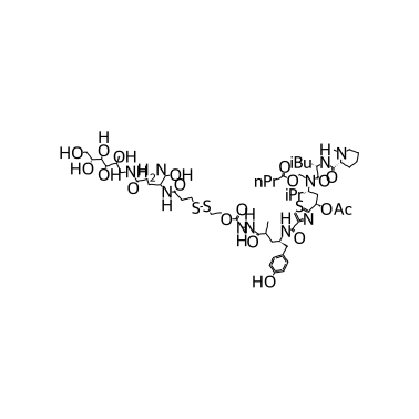 CCCC(=O)OCN(C(=O)[C@@H](NC(=O)[C@H]1CCCCN1C)C(C)CC)[C@H](C[C@@H](OC(C)=O)c1nc(C(=O)N[C@@H](Cc2ccc(O)cc2)CC(C)C(=O)NNC(=O)OCCSSCCC(=O)NC(CCC(=O)NC[C@H](O)[C@@H](O)[C@H](O)[C@H](O)CO)C(N)O)cs1)C(C)C